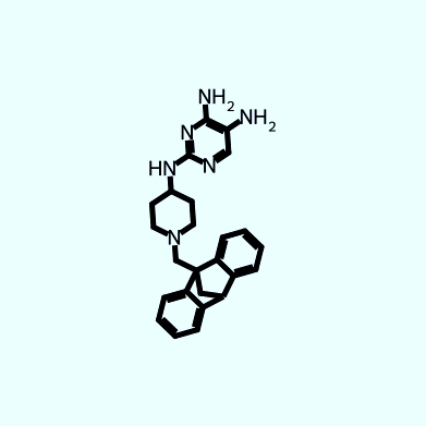 Nc1cnc(NC2CCN(CC34CC(c5ccccc53)c3ccccc34)CC2)nc1N